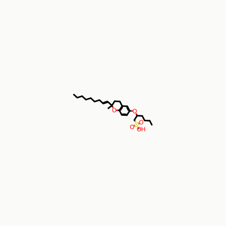 CCCCCCC/C=C/C1(C)CCc2cc(OC(CCCC)CS(=O)(=O)O)ccc2O1